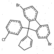 Clc1cccc(C2(C3=CCCC=C3)c3cc(Br)ccc3-c3ccc(Br)cc32)c1